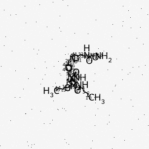 CCCCCC(=O)Nc1nc(OCCCC)nc2c1[nH]c(=O)n2Cc1ccc(CN2CCC(CCNC(=O)CON)CC2)cc1